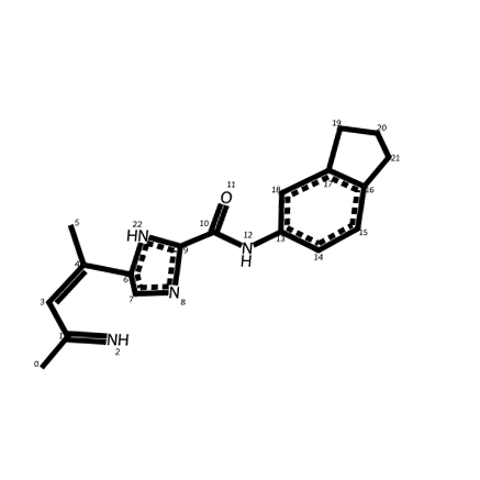 CC(=N)/C=C(/C)c1cnc(C(=O)Nc2ccc3c(c2)CCC3)[nH]1